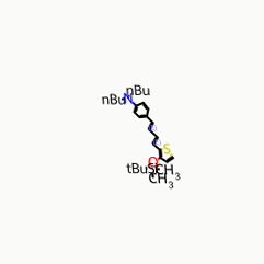 CCCCN(CCCC)c1ccc(/C=C/C=C/c2sccc2O[Si](C)(C)C(C)(C)C)cc1